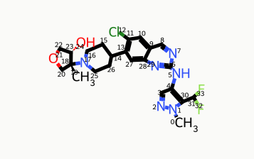 Cn1ncc(Nc2ncc3cc(Cl)c(C4CCN([C@]5(C)COC[C@@H]5O)CC4)cc3n2)c1C(F)F